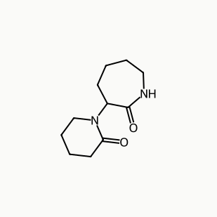 O=C1NCCCCC1N1CCCCC1=O